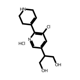 Cl.OCC(CO)c1cnc(C2=CCNCC2)c(Cl)c1